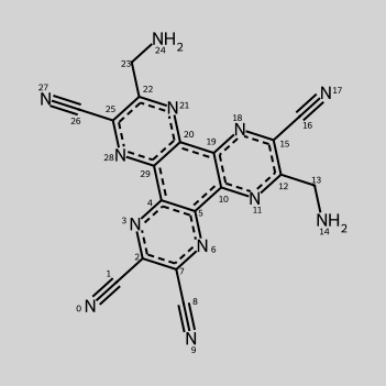 N#Cc1nc2c(nc1C#N)c1nc(CN)c(C#N)nc1c1nc(CN)c(C#N)nc21